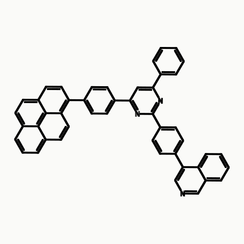 c1ccc(-c2cc(-c3ccc(-c4ccc5ccc6cccc7ccc4c5c67)cc3)nc(-c3ccc(-c4cncc5ccccc45)cc3)n2)cc1